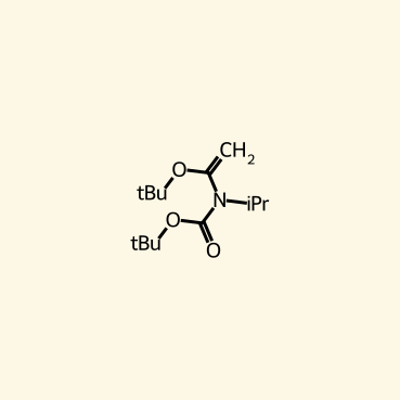 C=C(OC(C)(C)C)N(C(=O)OC(C)(C)C)C(C)C